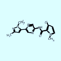 Cc1cc(-c2cnc(NC(=O)c3c(Cl)ccn3C)cn2)n(C)n1